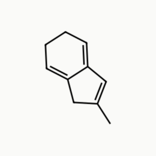 CC1=CC2=CCCC=C2C1